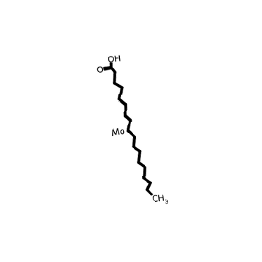 CCCCCCCCCCCCCCCCCC(=O)O.[Mo]